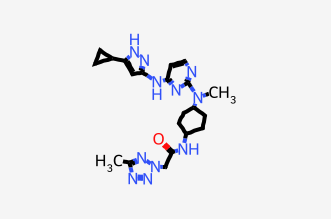 Cc1nnn(CC(=O)NC2CCC(N(C)c3nccc(Nc4cc(C5CC5)[nH]n4)n3)CC2)n1